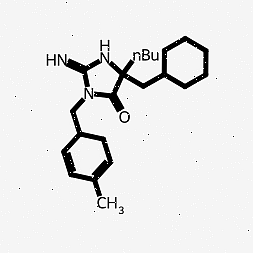 CCCCC1(CC2CCCCC2)NC(=N)N(CC2C=CC(C)=CC2)C1=O